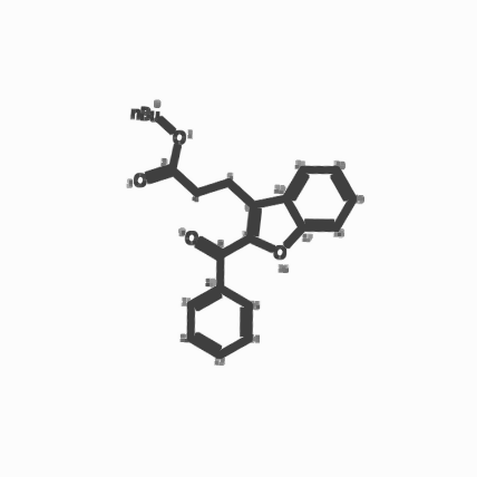 CCCCOC(=O)CCc1c(C(=O)c2ccccc2)oc2ccccc12